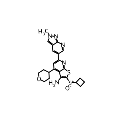 Cn1cc2cc(-c3cc(C4CCOCC4)c4c(N)c([S+]([O-])C5CCC5)sc4n3)cnc2n1